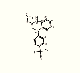 NCC1CN(c2ccc(C(F)(F)F)cc2)c2cccnc2N1